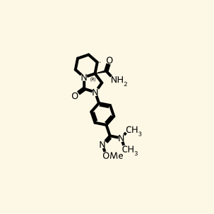 CON=C(c1ccc(N2C[C@@]3(C(N)=O)[CH]CCCN3C2=O)cc1)N(C)C